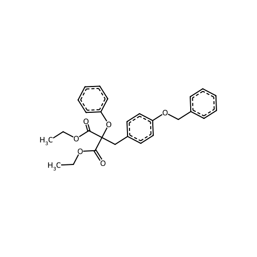 CCOC(=O)C(Cc1ccc(OCc2ccccc2)cc1)(Oc1ccccc1)C(=O)OCC